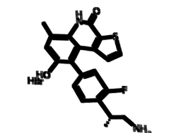 Br.Cc1cc(O)c(-c2ccc([C@@H](C)CN)c(F)c2)c2c1[nH]c(=O)c1sccc12